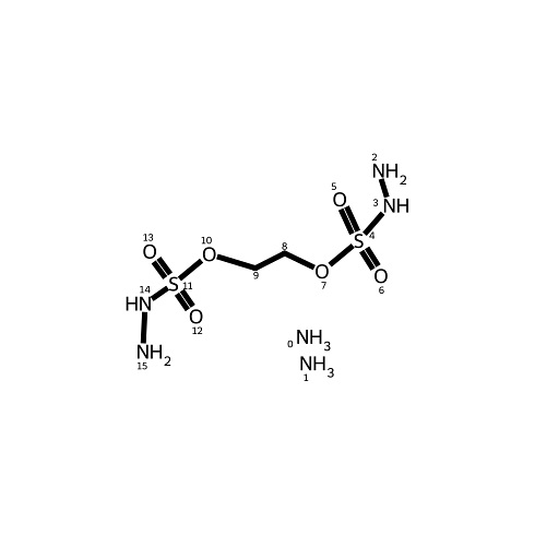 N.N.NNS(=O)(=O)OCCOS(=O)(=O)NN